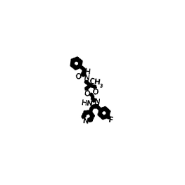 CC1(CNC(=O)Cc2ccccc2)COC(c2nc(-c3ccc(F)cc3)c(-c3ccncc3)[nH]2)OC1